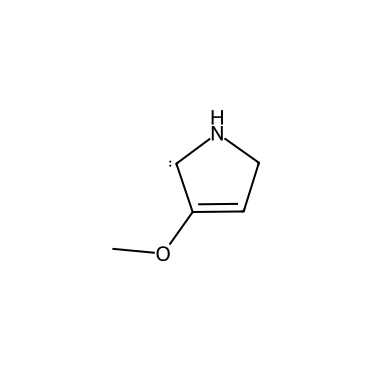 COC1=CCN[C]1